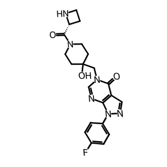 O=C([C@H]1CCN1)N1CCC(O)(Cn2cnc3c(cnn3-c3ccc(F)cc3)c2=O)CC1